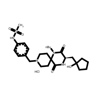 CCCCN1C(=O)[C@@H](CC2(O)CCCC2)NC(=O)C12CCN(Cc1ccc(NS(C)(=O)=O)cc1)CC2.Cl